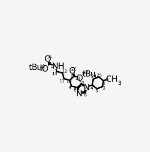 CC1CCC(n2cnc(CC(CCCNC(=O)OC(C)(C)C)C(=O)OC(C)(C)C)c2)CC1